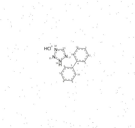 Cl.c1ccc(-c2ccccc2)cc1.c1nn[nH]n1